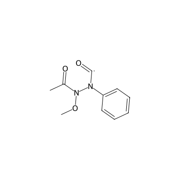 CON(C(C)=O)N([C]=O)c1ccccc1